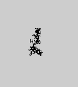 CCOc1c(C)cc(CCNC(=O)c2ccc(-c3coc(C)n3)c(C)c2)nc1-c1ccc(F)cc1